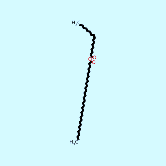 CCCCCCCC/C=C\CCCCCCCC(=O)OC(=O)CCCCCCCCCCCCCCCCCCCCCCCCCCCCCCCCC